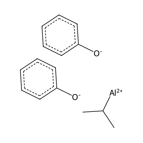 C[CH](C)[Al+2].[O-]c1ccccc1.[O-]c1ccccc1